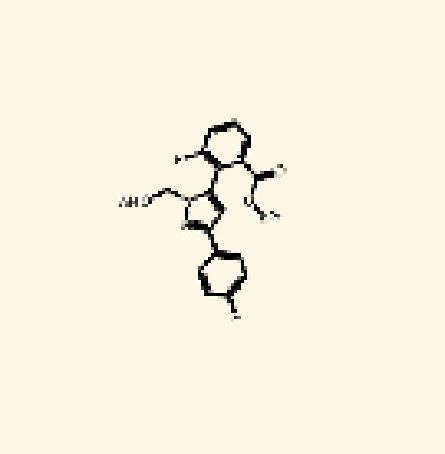 CCCOC(=O)c1cccc(F)c1-c1cc(-c2ccc(F)cc2)nn1COC